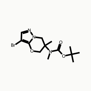 CN(C(=O)OC(C)(C)C)C1(C)COc2c(Br)cnn2C1